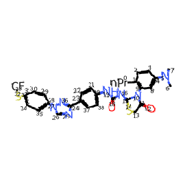 CCCc1ccc(N(C)C)cc1N1C(=O)CS/C1=N\C(=O)Nc1ccc(-c2ncn(-c3ccc(SC(F)(F)F)cc3)n2)cc1